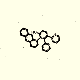 Oc1ccc(-c2ccccn2)c(-c2ccccn2)c1-c1cccc2cc3ccccc3cc12